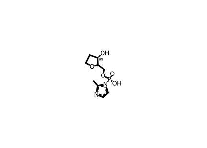 Cc1nccn1P(=O)(O)OCC1OCC[C@H]1O